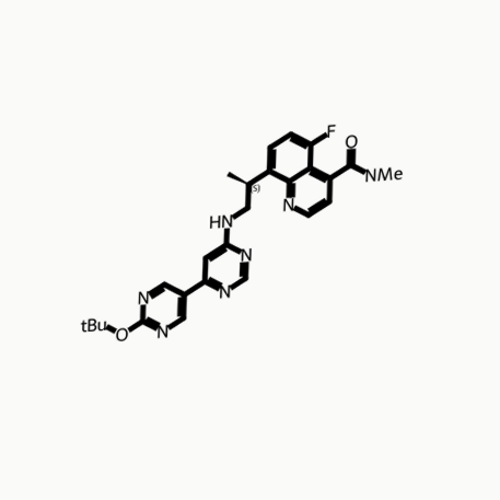 CNC(=O)c1ccnc2c([C@H](C)CNc3cc(-c4cnc(OC(C)(C)C)nc4)ncn3)ccc(F)c12